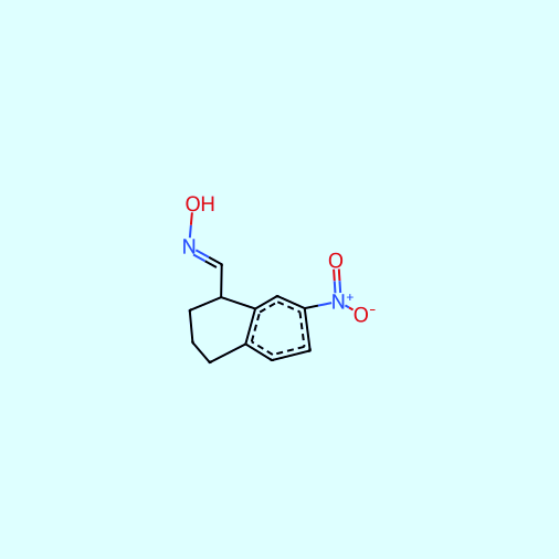 O=[N+]([O-])c1ccc2c(c1)C(C=NO)CCC2